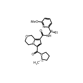 CC[C@@H](NC(=O)c1cc(C(=O)N2CCC[C@@H]2C)n2c1COCC2)c1cccc(OC)n1